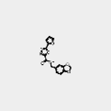 O=C(NCc1ccc2c(c1)OCO2)c1nnc(-c2ccco2)o1